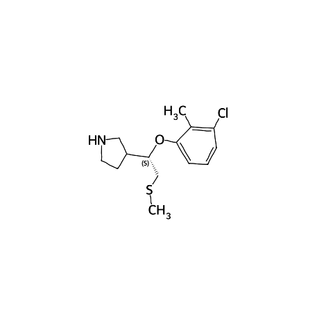 CSC[C@@H](Oc1cccc(Cl)c1C)C1CCNC1